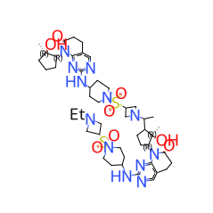 CCN1CC(S(=O)(=O)N2CCC(Nc3ncc4c(n3)N([C@@H]3CCC(C(C)N5CC(S(=O)(=O)N6CCC(Nc7ncc8c(n7)N([C@@H]7CCC[C@@]7(C)O)C(=O)CC8)CC6)C5)[C@@]3(C)O)C(=O)CC4)CC2)C1